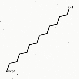 CCCCCCCCCCCCCCCC[CH]CCO